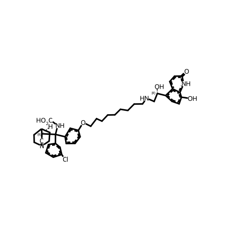 O=C(O)NC(c1cccc(Cl)c1)(c1cccc(OCCCCCCCCCNC[C@H](O)c2ccc(O)c3[nH]c(=O)ccc23)c1)[C@H]1CN2CCC1CC2